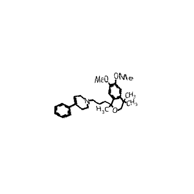 COc1cc2c(cc1OC)C(C)(CCCN1CC=C(c3ccccc3)CC1)OCC2(C)C